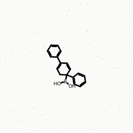 OB(O)C1(c2ccccc2)C=CC(c2ccccc2)=CC1